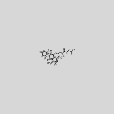 C[C@H]1CN(C(=O)/C=C/C(F)F)CCN1c1nc(=O)n2c3c(c(-c4c(F)cc(F)cc4F)c(Cl)cc13)SCC2